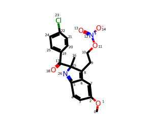 COc1ccc2c(c1)=C(CCO[N+](=O)[O-])C(C)(C(=O)c1ccc(Cl)cc1)N=2